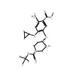 COC(=O)c1cc(O[C@@H]2CCN(C(=O)OC(C)(C)C)C[C@H]2F)c(OC2CC2)cc1N